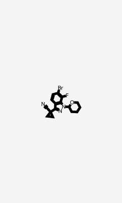 N#CC1(c2nn(C3CCCCO3)c3c(F)c(Br)ccc23)CC1